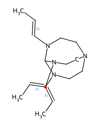 C/C=C/N1CCN2CCN(/C=C/C)C1N(/C=C/C)CC2